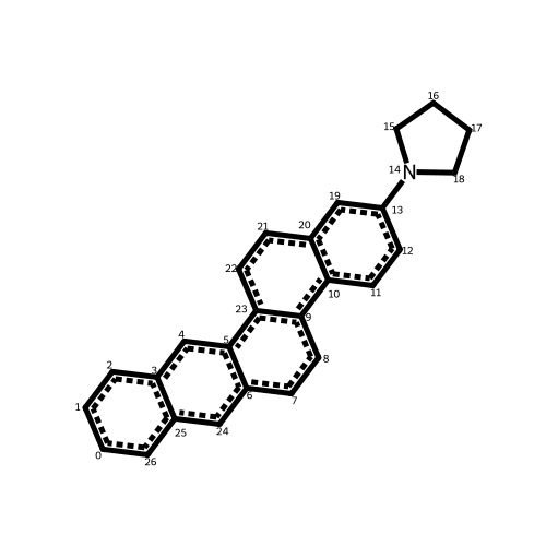 c1ccc2cc3c(ccc4c5ccc(N6CCCC6)cc5ccc34)cc2c1